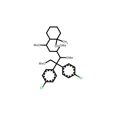 COCC(c1ccc(Cl)cc1)(c1ccc(Cl)cc1)C(OC)C(CC(OC)C1CCCCC1(C)C)OC